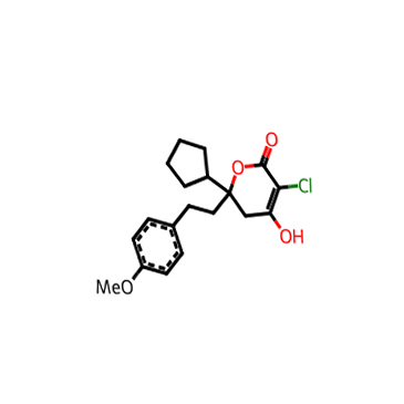 COc1ccc(CCC2(C3CCCC3)CC(O)=C(Cl)C(=O)O2)cc1